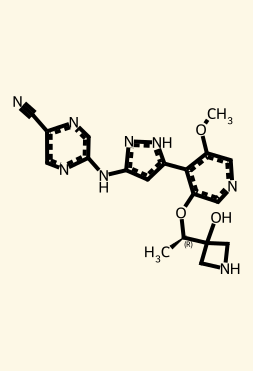 COc1cncc(O[C@H](C)C2(O)CNC2)c1-c1cc(Nc2cnc(C#N)cn2)n[nH]1